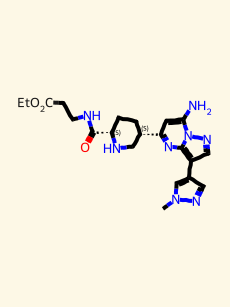 CCOC(=O)CCNC(=O)[C@@H]1CC[C@H](c2cc(N)n3ncc(-c4cnn(C)c4)c3n2)CN1